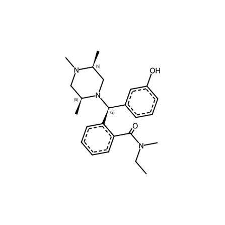 CCN(C)C(=O)c1ccccc1[C@H](c1cccc(O)c1)N1C[C@H](C)N(C)C[C@@H]1C